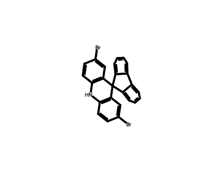 Brc1ccc2c(c1)C1(c3cc(Br)ccc3N2)c2ccccc2-c2ccccc21